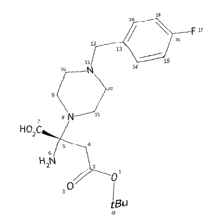 CC(C)(C)OC(=O)C[C@@](N)(C(=O)O)N1CCN(Cc2ccc(F)cc2)CC1